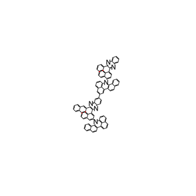 c1ccc(-c2nc3ccccc3nc2-c2ccc(N3c4c(ccc5ccccc45)-c4cc(-c5ccc6nc(-c7cc(N8c9c(ccc%10ccccc9%10)-c9cccc%10cccc8c9%10)cc8ccccc78)c(-c7ccc8ccccc8c7)nc6c5)cc5cccc3c45)c3ccccc23)cc1